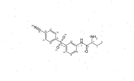 CCC(N)C(=O)Nc1cccc(S(=O)(=O)c2ccc(C#N)cc2)c1